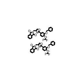 O=C1c2ccccc2C(=O)N1Cc1coc(-c2ccc(OC(F)F)c(OCc3ccccc3)c2)n1.O=C1c2ccccc2C(=O)N1Cc1coc(-c2ccc(OC(F)F)c(OCc3ccccc3)c2)n1